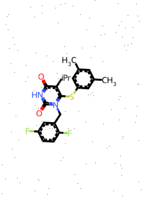 Cc1cc(C)cc(Sc2c(C(C)C)c(=O)[nH]c(=O)n2Cc2cc(F)ccc2F)c1